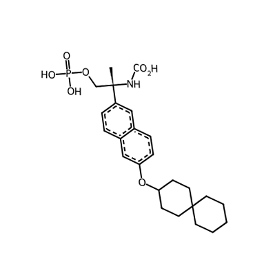 C[C@@](COP(=O)(O)O)(NC(=O)O)c1ccc2cc(OC3CCC4(CCCCC4)CC3)ccc2c1